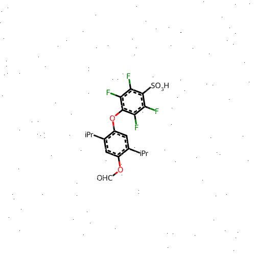 CC(C)c1cc(Oc2c(F)c(F)c(S(=O)(=O)O)c(F)c2F)c(C(C)C)cc1OC=O